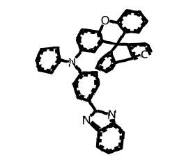 c1ccc(N(c2ccc(C3N=c4ccccc4=N3)cc2)c2ccc3c(c2)C2(c4ccccc4O3)c3ccccc3-c3ccccc32)cc1